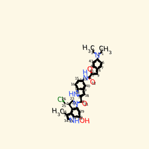 CCN(CC)c1ccc2cc(C(=O)Nc3ccc4[nH]c(C(=O)N5C[C@@H](CCl)c6c5cc(O)c5[nH]cc(C)c65)cc4c3)oc2c1